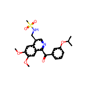 COc1cc2c(CNS(C)(=O)=O)cnc(C(=O)c3cccc(OC(C)C)c3)c2cc1OC